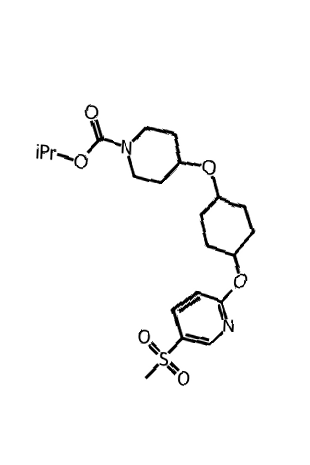 CC(C)OC(=O)N1CCC(OC2CCC(Oc3ccc(S(C)(=O)=O)cn3)CC2)CC1